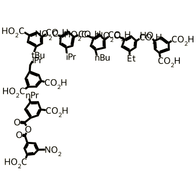 CC(C)(C)c1cc(C(=O)O)cc(C(=O)O)c1.CC(C)Cc1cc(C(=O)O)cc(C(=O)O)c1.CC(C)c1cc(C(=O)O)cc(C(=O)O)c1.CCCCc1cc(C(=O)O)cc(C(=O)O)c1.CCCc1cc(C(=O)O)cc(C(=O)OC(=O)c2cc(C(=O)O)cc([N+](=O)[O-])c2)c1.CCc1cc(C(=O)O)cc(C(=O)O)c1.O=C(O)c1cc(O)cc(C(=O)O)c1